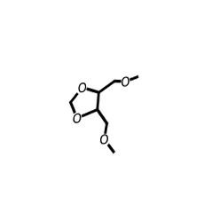 COCC1OCOC1COC